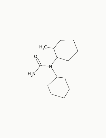 CC1CCCCC1N(C(N)=O)C1CCCCC1